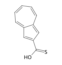 OC(=S)c1cc2cccccc-2c1